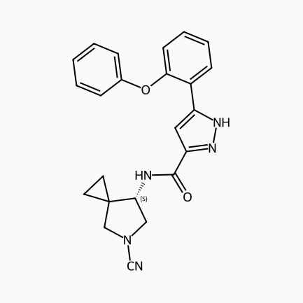 N#CN1C[C@@H](NC(=O)c2cc(-c3ccccc3Oc3ccccc3)[nH]n2)C2(CC2)C1